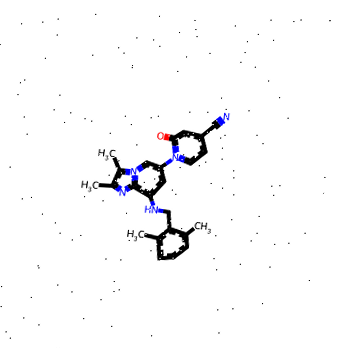 Cc1cccc(C)c1CNc1cc(-n2ccc(C#N)cc2=O)cn2c(C)c(C)nc12